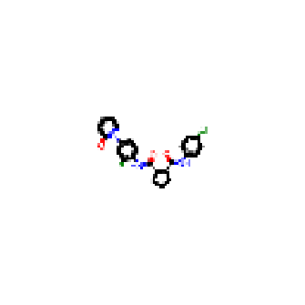 O=C(Nc1ccc(Cl)cc1)[C@H]1CCC[C@@H]1C(=O)Nc1ccc(-n2ccccc2=O)cc1F